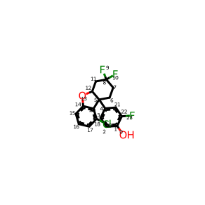 Oc1ccc(C23CCC(F)(F)CC2Oc2cccc(Cl)c23)cc1F